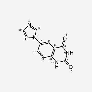 O=c1[nH]c(=O)c2cc(-n3ccnc3)ccc2[nH]1